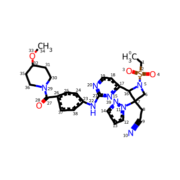 CCS(=O)(=O)N1CC(CC#N)(n2cccn2)C1c1ccnc(Nc2ccc(C(=O)N3CCC(OC)CC3)cc2)n1